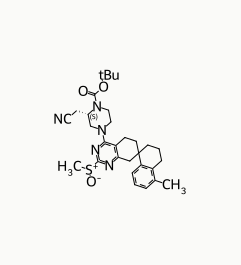 Cc1cccc2c1CCCC21CCc2c(nc([S+](C)[O-])nc2N2CCN(C(=O)OC(C)(C)C)[C@@H](CC#N)C2)C1